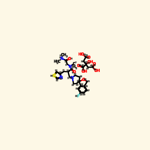 CN(C)C(=O)CN(C)C(=O)C(Cc1cscn1)CN1CCC2(CC1)OCc1ccc(F)cc12.O=C(O)CC(O)(CC(=O)O)C(=O)O